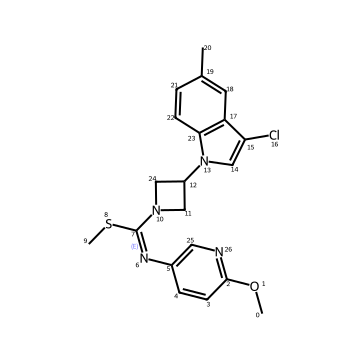 COc1ccc(/N=C(/SC)N2CC(n3cc(Cl)c4cc(C)ccc43)C2)cn1